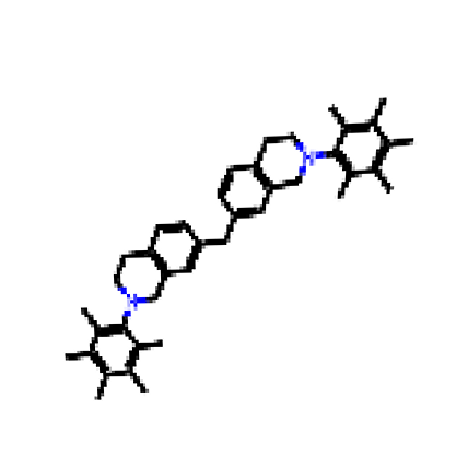 Cc1c(C)c(C)c(N2CCc3ccc(Cc4ccc5c(c4)CN(c4c(C)c(C)c(C)c(C)c4C)CC5)cc3C2)c(C)c1C